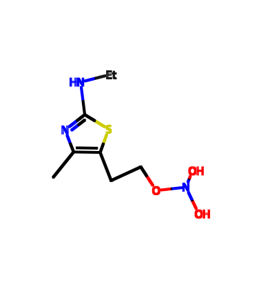 CCNc1nc(C)c(CCON(O)O)s1